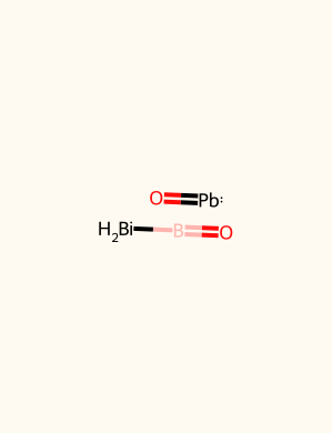 O=[B][BiH2].[O]=[Pb]